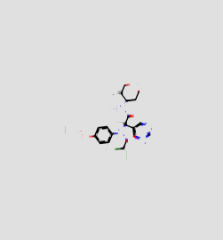 C[C@H]1COCC[C@@H]1NC(=O)[C@](C)(c1cncnc1)N(C(=O)[C@H](F)Cl)c1ccc(OC(F)(F)F)cc1